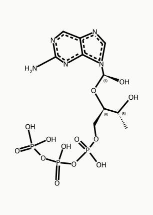 C[C@@H](O)[C@@H](COP(=O)(O)OP(=O)(O)OP(=O)(O)O)O[C@H](O)n1cnc2cnc(N)nc21